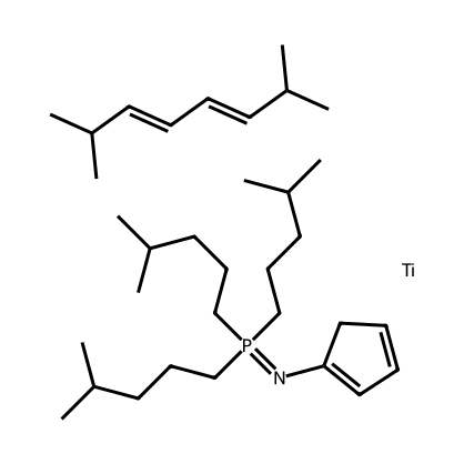 CC(C)C=CC=CC(C)C.CC(C)CCCP(CCCC(C)C)(CCCC(C)C)=NC1=CC=CC1.[Ti]